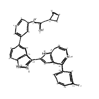 OC(Nc1cncc(-c2ccc3[nH]nc(-c4cc5c(-c6cccc(F)c6)nccc5[nH]4)c3c2)c1)C1CCC1